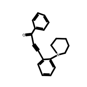 O=C(C#Cc1ccccc1N1CCCCC1)c1ccccc1